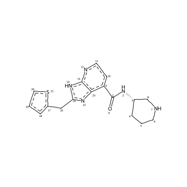 O=C(N[C@H]1CCCNC1)c1ccnc2[nH]c(Cc3cccs3)nc12